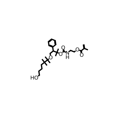 C=C(C)C(=O)OCCNC(=O)OC(C)(C)C(COC(C)(C)C(C)(C)CCCCO)c1ccccc1